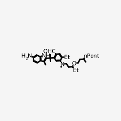 CCCCCC(C)CCOC(CC)CCN(C)c1cc(C(C)(C)c2[nH]c3cc(N)ccc3c2C)c(C=O)cc1CC